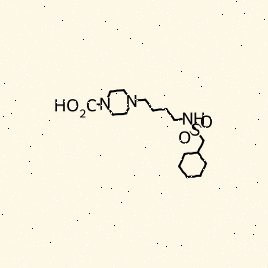 O=C(O)N1CCN(CCCCNS(=O)(=O)CC2CCCCC2)CC1